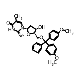 COc1ccc(C(OC[C@H]2O[C@@H](n3cc(C)c(=O)[nH]c3=[Se])C[C@H]2O)(c2ccccc2)c2ccc(OC)cc2)cc1